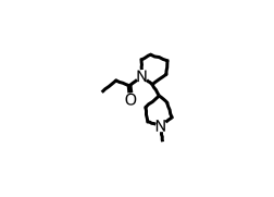 CCC(=O)N1CCCCC1C1CCN(C)CC1